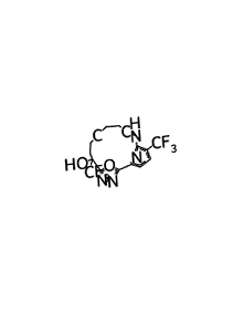 OC1(C(F)(F)F)CCCCCCNc2nc(ccc2C(F)(F)F)-c2nnc1o2